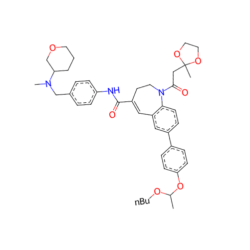 CCCCOC(C)Oc1ccc(-c2ccc3c(c2)C=C(C(=O)Nc2ccc(CN(C)C4CCCOC4)cc2)CCN3C(=O)CC2(C)OCCO2)cc1